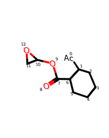 CC(=O)C1CCCCC1C(=O)OC1CO1